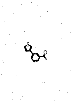 CC(=O)c1cccc(-c2ccsc2)c1